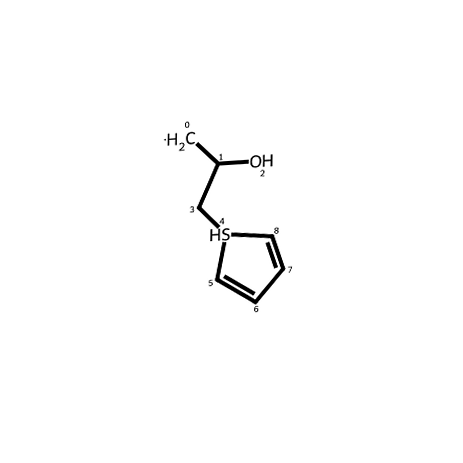 [CH2]C(O)C[SH]1C=CC=C1